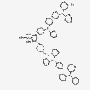 CCC[CH2][Sn]([CH2]CCC)([CH2]CCC)[c]1cncc(N2CCN(C)CC2)n1.[Pd].c1ccc(P(c2ccccc2)c2ccccc2)cc1.c1ccc(P(c2ccccc2)c2ccccc2)cc1.c1ccc(P(c2ccccc2)c2ccccc2)cc1.c1ccc(P(c2ccccc2)c2ccccc2)cc1